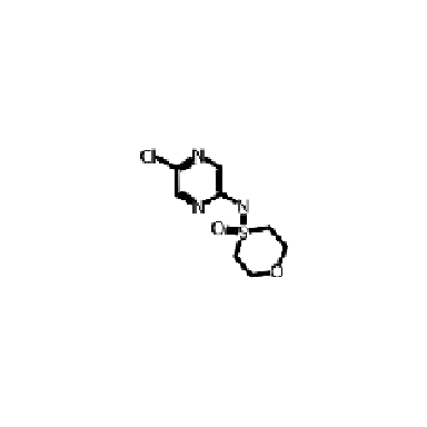 O=S1(=Nc2cnc(Cl)cn2)CCOCC1